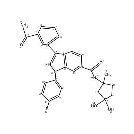 CC1(NC(=O)c2ccc3c(-c4cccc(C(N)=O)c4)nn(-c4ccc(F)cc4)c3c2)CCS(O)(O)C1